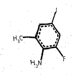 Cc1cc(I)cc(F)c1N